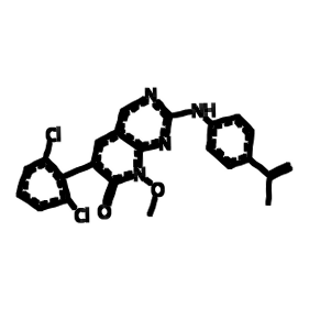 C=C(C)c1ccc(Nc2ncc3cc(-c4c(Cl)cccc4Cl)c(=O)n(OC)c3n2)cc1